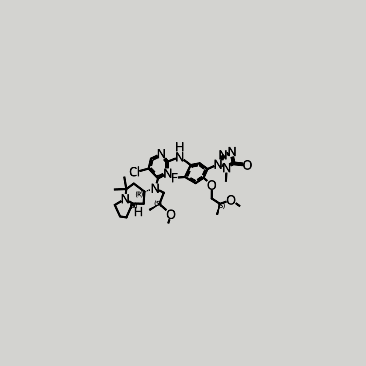 CO[C@@H](C)COc1cc(F)c(Nc2ncc(Cl)c(N(C[C@H](C)OC)[C@@H]3C[C@@H]4CCCN4C(C)(C)C3)n2)cc1-n1nnc(=O)n1C